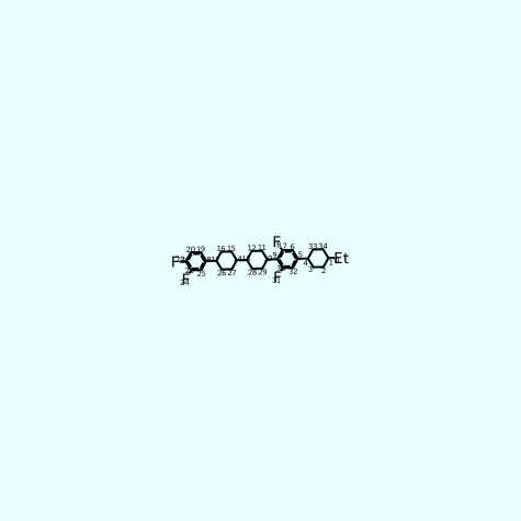 CCC1CCC(c2cc(F)c(C3CCC(C4CCC(c5ccc(F)c(F)c5)CC4)CC3)c(F)c2)CC1